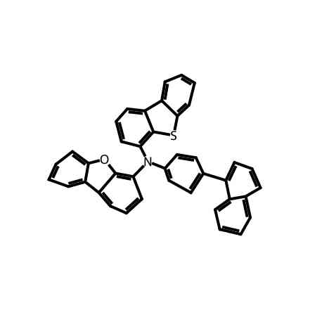 c1ccc2c(-c3ccc(N(c4cccc5c4oc4ccccc45)c4cccc5c4sc4ccccc45)cc3)cccc2c1